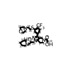 C[C@H](O)C(=O)N1CCc2c(c(-c3ccc(C(F)(F)F)c(SCCN4CCOCC4)c3)nn2CC(O)CN2CCCCC2)C1